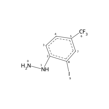 NNc1ccc(C(F)(F)F)cc1I